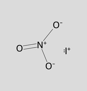 O=[N+]([O-])[O-].[I+]